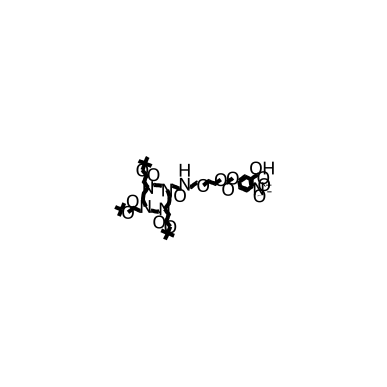 CC(C)(C)OC(=O)CN1CCN(CC(=O)NCCOCCOC(=O)Oc2ccc([N+](=O)[O-])c(C(=O)O)c2)CCN(CC(=O)OC(C)(C)C)CCN(CC(=O)OC(C)(C)C)CC1